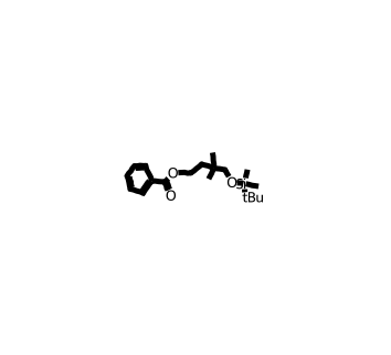 CC(C)(CCOC(=O)c1ccccc1)CO[Si](C)(C)C(C)(C)C